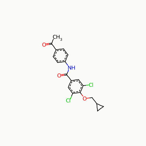 CC(=O)c1ccc(NC(=O)c2cc(Cl)c(OCC3CC3)c(Cl)c2)cc1